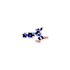 CCn1cnc2c(NCc3ccc(-n4cccn4)nc3)nc(N(CCO)CCO)nc21